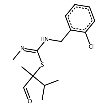 C/N=C(/NCc1ccccc1Cl)SC(C)(C=O)C(C)C